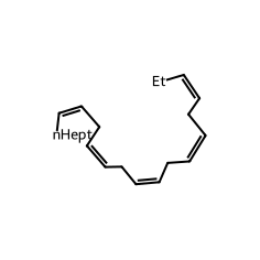 CC/C=C\C/C=C\C/C=C\C/C=C\C/C=C\CCCCCCC